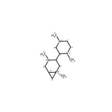 CN1CCN(C)C(C2C[C@@]3(C)CC3CN2C)C1